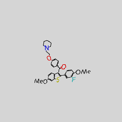 COc1ccc2c(C(=O)c3ccc(OCCN4CCCCC4)cc3)c(-c3ccc(OC)c(F)c3)sc2c1